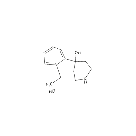 Cl.OC1(c2ccccc2CC(F)(F)F)CCNCC1